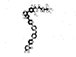 Cc1cc(-c2ncnc3[nH]c(-c4ccc(N5CCN(CC6CCN(c7ccc(N8CCC(=O)NC8=O)cn7)CC6)CC5)nc4)cc23)ccc1C(C)NC(=O)c1nc(C(C)(C)C)no1